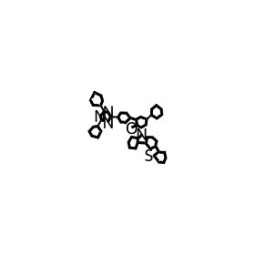 c1ccc(-c2cc(-n3c4ccccc4c4c5sc6ccccc6c5ccc43)c3oc4cc(-c5nc(-c6ccccc6)nc(-c6ccccc6)n5)ccc4c3c2)cc1